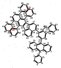 c1ccc(-c2c3ccccc3c(-c3cc(-c4ccc5c6c(cccc46)-c4c-5c(-c5ccccc5)c5c(-c6ccccc6)ccc(-c6ccccc6)c5c4-c4ccccc4)c4sc5ccccc5c4c3)c3ccccc23)cc1